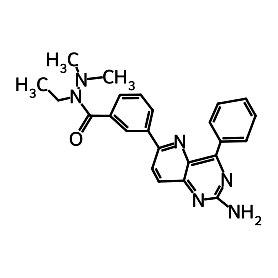 CCN(C(=O)c1cccc(-c2ccc3nc(N)nc(-c4ccccc4)c3n2)c1)N(C)C